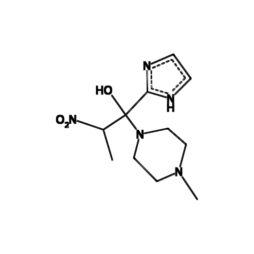 CC([N+](=O)[O-])C(O)(c1ncc[nH]1)N1CCN(C)CC1